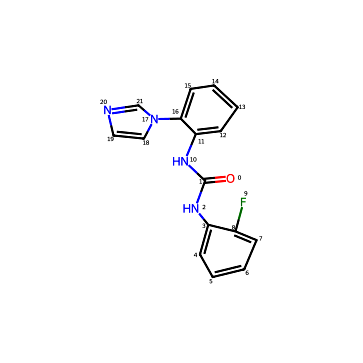 O=C(Nc1ccccc1F)Nc1ccccc1-n1ccnc1